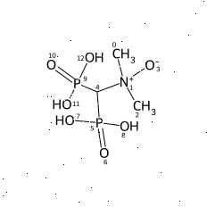 C[N+](C)([O-])C(P(=O)(O)O)P(=O)(O)O